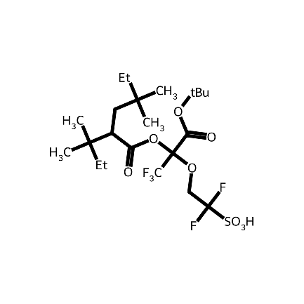 CCC(C)(C)CC(C(=O)OC(OCC(F)(F)S(=O)(=O)O)(C(=O)OC(C)(C)C)C(F)(F)F)C(C)(C)CC